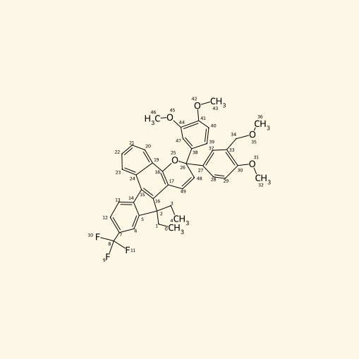 CCC1(CC)c2cc(C(F)(F)F)ccc2-c2c1c1c(c3ccccc23)OC(c2ccc(OC)c(COC)c2)(c2ccc(OC)c(OC)c2)C=C1